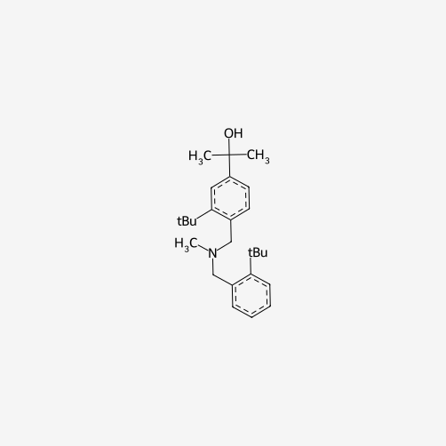 CN(Cc1ccccc1C(C)(C)C)Cc1ccc(C(C)(C)O)cc1C(C)(C)C